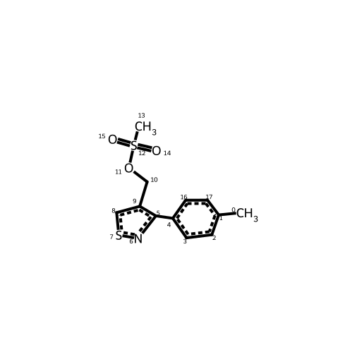 Cc1ccc(-c2nscc2COS(C)(=O)=O)cc1